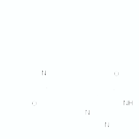 O=C1c2cn3nc[nH]c(=O)c3c2CCN1Cc1ccccc1